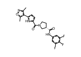 Cc1noc(C)c1-c1ccc(C(=O)N2CC[C@H](C(=O)Nc3cc(F)c(F)c(F)c3)C2)[nH]1